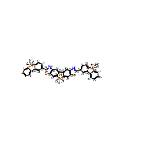 C[SH]1(C)(I)c2ccccc2-c2cc(-c3nc4cc5c(cc4s3)[SH](C)(C)(I)c3cc4sc(-c6ccc7c(c6)-c6ccccc6[SH]7(C)(C)I)nc4cc3-5)ccc21